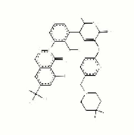 CC1NC(=O)C(Nc2ccc(CN3CCC(C)(O)CC3)cn2)=CC1c1cccc(-n2ncc3cc(C(C)(C)C)cc(F)c3c2=O)c1CO